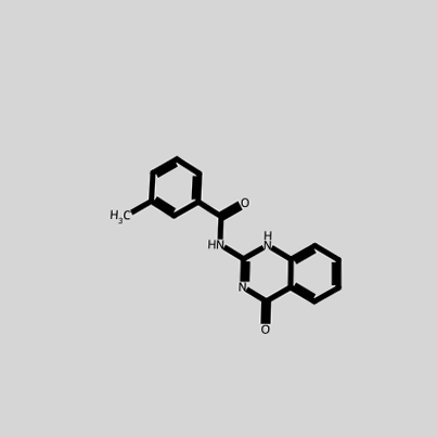 Cc1cccc(C(=O)Nc2nc(=O)c3ccccc3[nH]2)c1